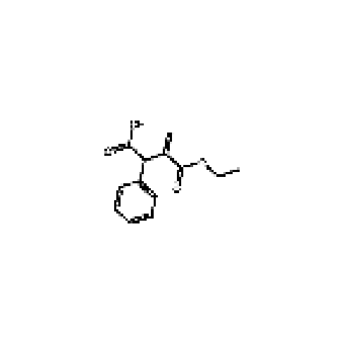 C=C(C(=O)OCC)C(C(=O)O)c1ccccc1